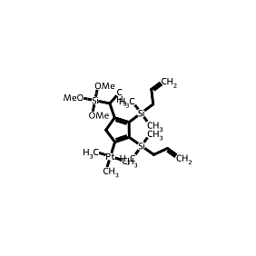 C=CC[Si](C)(C)C1=C(C(C)[Si](OC)(OC)OC)C[C]([Pt]([CH3])([CH3])[CH3])=C1[Si](C)(C)CC=C